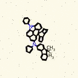 CC1(C)c2ccccc2-c2cc(N(c3ccccc3)c3cc4c5c(ccc6c5c5c(cccc5n6-c5ccccc5)C45c4ccccc4-c4ccccc45)c3)ccc21